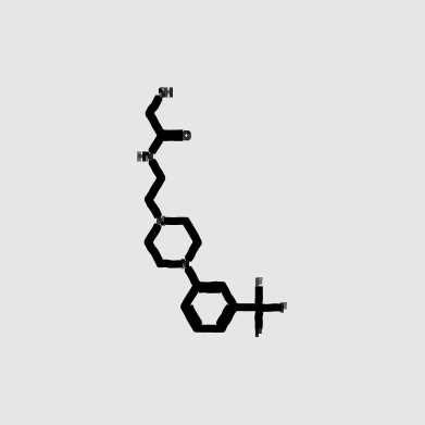 O=C(CS)NCCN1CCN(c2cccc(C(F)(F)F)c2)CC1